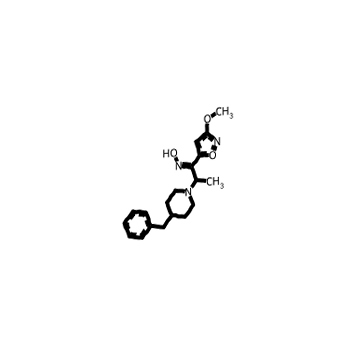 COc1cc(C(=NO)C(C)N2CCC(Cc3ccccc3)CC2)on1